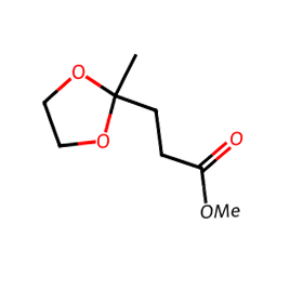 COC(=O)CCC1(C)OCCO1